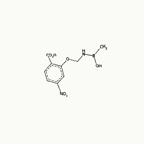 CB(O)NCOc1cc([N+](=O)[O-])ccc1C(=O)O